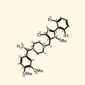 CCCCn1c(-c2c(CC)cccc2CC)nc(Cl)c1CN1CCN(C(C)c2ccc(OC)c(OC)c2)CC1